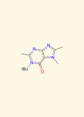 Cc1nc2nc(C)n(C)c2c(=O)n1C(C)(C)C